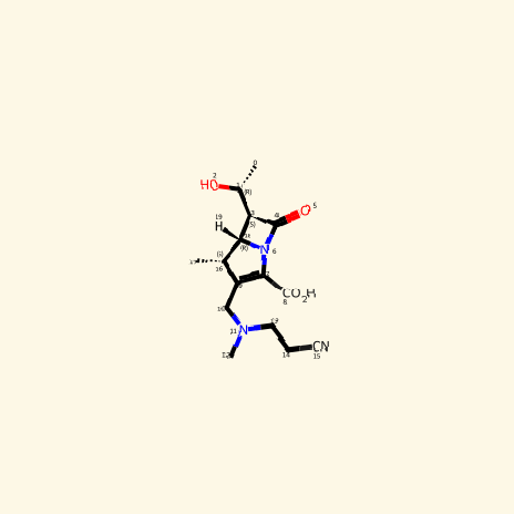 C[C@@H](O)[C@H]1C(=O)N2C(C(=O)O)=C(CN(C)CCC#N)[C@H](C)[C@H]12